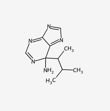 CC(C)C(C)C1(N)N=CN=C2N=CN=C21